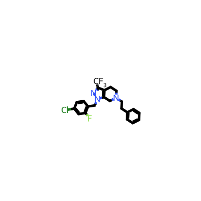 Fc1cc(Cl)ccc1Cn1nc(C(F)(F)F)c2c1CN(CCc1ccccc1)CC2